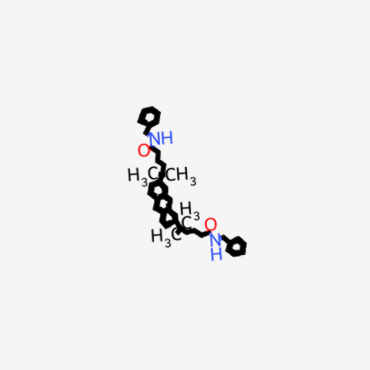 CC(C)(CCCC(=O)NCc1ccccc1)c1ccc2cc3ccc(C(C)(C)CCCC(=O)NCc4ccccc4)cc3cc2c1